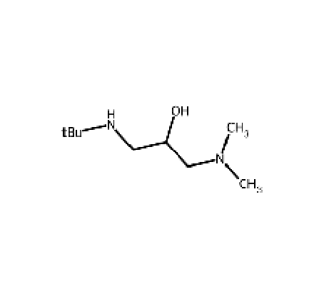 CN(C)CC(O)CNC(C)(C)C